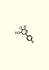 O=C1NN=C(c2ccc(F)cc2)CC1O